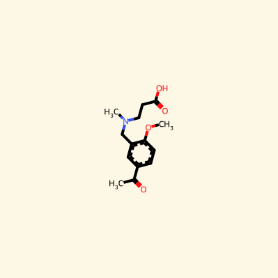 COc1ccc(C(C)=O)cc1CN(C)CCC(=O)O